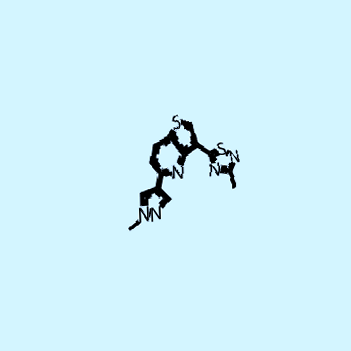 Cc1nsc(-c2csc3ccc(-c4cnn(C)c4)nc23)n1